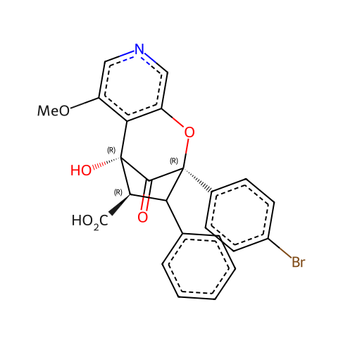 COc1cncc2c1[C@@]1(O)C(=O)[C@@](c3ccc(Br)cc3)(O2)C(c2ccccc2)[C@H]1C(=O)O